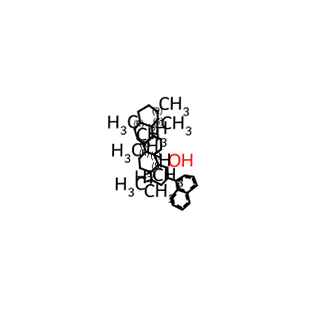 C[C@@H]1[C@H]2[C@H]3CC[C@@H]4[C@@]5(C)C(O)C(c6cccc7ccccc67)CC(C)(C)[C@@H]5CC[C@@]4(C)[C@]3(C)CC[C@@]2(C)CC[C@H]1C